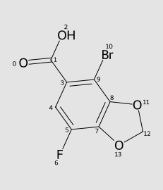 O=C(O)c1cc(F)c2c(c1Br)OCO2